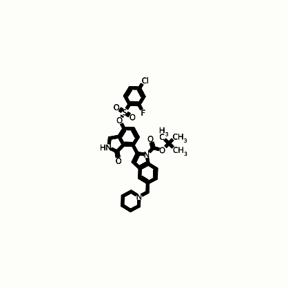 CC(C)(C)OC(=O)n1c(-c2ccc(OS(=O)(=O)c3ccc(Cl)cc3F)c3c2C(=O)NC3)cc2cc(CN3CCCCC3)ccc21